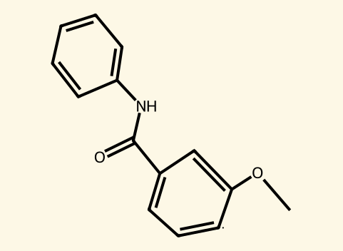 COc1[c]ccc(C(=O)Nc2ccccc2)c1